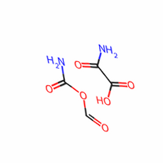 NC(=O)C(=O)O.NC(=O)OC=O